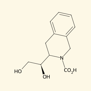 O=C(O)N1Cc2ccccc2CC1[C@@H](O)CO